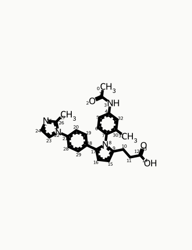 CC(=O)Nc1ccc(-n2c(CCC(=O)O)ccc2-c2ccc(-n3ccnc3C)cc2)c(C)c1